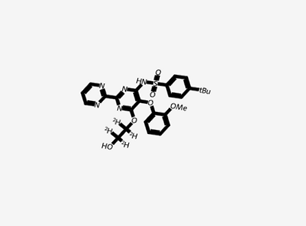 [2H]C([2H])(O)C([2H])([2H])Oc1nc(-c2ncccn2)nc(NS(=O)(=O)c2ccc(C(C)(C)C)cc2)c1Oc1ccccc1OC